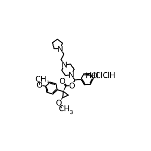 COc1ccc([C@]2(C(=O)OC(c3ccccc3)N3CCN(CCN4CCCC4)CC3)C[C@H]2OC)cc1.Cl.Cl.Cl